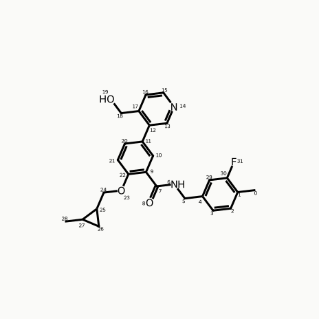 Cc1ccc(CNC(=O)c2cc(-c3cnccc3CO)ccc2OCC2CC2C)cc1F